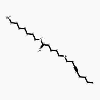 CCCCC#CCCOCCCCC(=O)OCCCCCCCBr